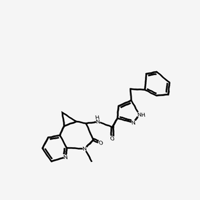 CN1C(=O)C(NC(=O)c2cc(Cc3ccccc3)[nH]n2)C2CC2c2cccnc21